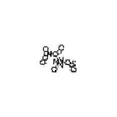 c1ccc(-c2nc(-c3ccc4sc5ccccc5c4c3)nc(-c3cc(-n4c5ccccc5c5cc6ccccc6cc54)cc4c3Cc3ccccc3-4)n2)cc1